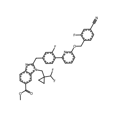 COC(=O)c1ccc2nc(Cc3ccc(-c4cccc(OCc5ccc(C#N)cc5F)n4)c(F)c3)n(CC3(C(F)F)CC3)c2c1